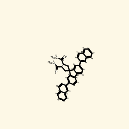 COC(=O)CCC1(CCC(=O)OC)c2cc(-c3ccc4ccccc4c3)ccc2-c2ccc(-c3ccc4ccccc4c3)cc21